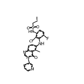 CCCS(=O)(=O)Nc1ccc(F)c(Nc2ccc3ncn(-c4cccnc4)c(=O)c3c2C)c1Cl